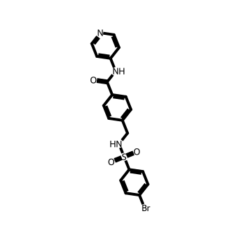 O=C(Nc1ccncc1)c1ccc(CNS(=O)(=O)c2ccc(Br)cc2)cc1